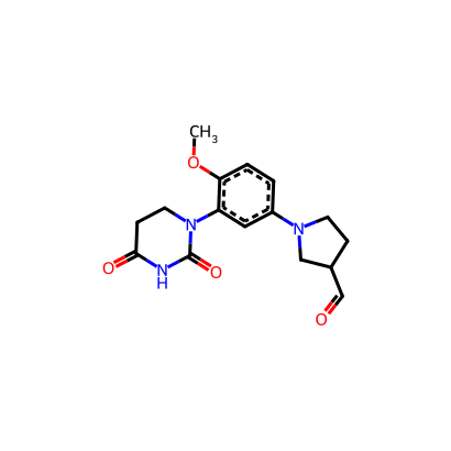 COc1ccc(N2CCC(C=O)C2)cc1N1CCC(=O)NC1=O